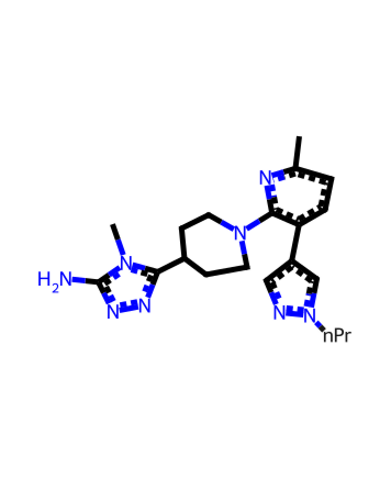 CCCn1cc(-c2ccc(C)nc2N2CCC(c3nnc(N)n3C)CC2)cn1